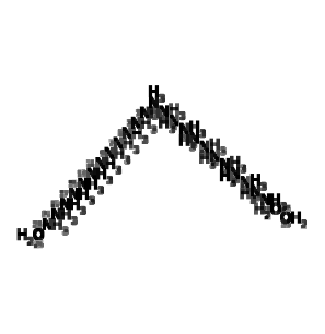 N.N.N.N.N.N.N.N.N.N.N.N.N.N.N.N.N.N.N.N.N.N.N.N.O.O.O